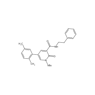 CCCCn1cc(-c2cc(C)ccc2C)cc(C(=O)NCCc2ccccc2)c1=O